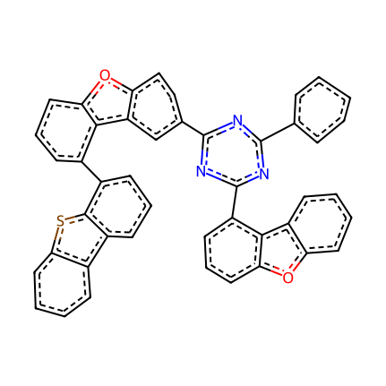 c1ccc(-c2nc(-c3ccc4oc5cccc(-c6cccc7c6sc6ccccc67)c5c4c3)nc(-c3cccc4oc5ccccc5c34)n2)cc1